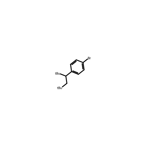 CC(C)(C)CC(c1ccc(Br)cc1)C(C)(C)C